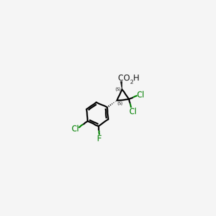 O=C(O)[C@@H]1[C@@H](c2ccc(Cl)c(F)c2)C1(Cl)Cl